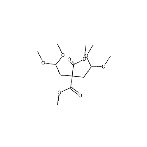 COC(=O)C(CC(OC)OC)(CC(OC)OC)C(=O)OC